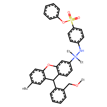 CCCCc1ccc2c(c1)C(c1ccccc1COCC)c1ccc([N+](CC)(CC)Nc3ccc(S(=O)(=O)Oc4ccccc4)cc3)cc1O2